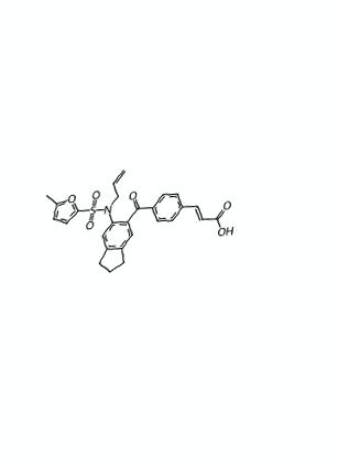 C=CCN(c1cc2c(cc1C(=O)c1ccc(C=CC(=O)O)cc1)CCC2)S(=O)(=O)c1ccc(C)o1